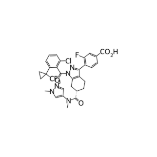 CN(C(=O)[C@H]1CCc2c(-c3ccc(C(=O)O)cc3F)nn(C(=O)c3c(Cl)cccc3C3(C(F)(F)F)CC3)c2C1)c1cnn(C)c1